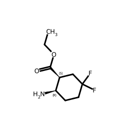 CCOC(=O)[C@H]1CC(F)(F)CC[C@H]1N